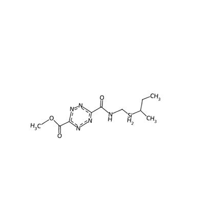 CCC(C)[SiH2]CNC(=O)c1nnc(C(=O)OC)nn1